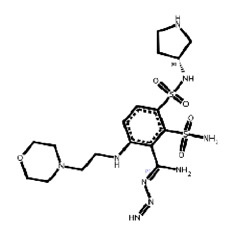 N=N/N=C(\N)c1c(NCCN2CCOCC2)ccc(S(=O)(=O)N[C@@H]2CCNC2)c1S(N)(=O)=O